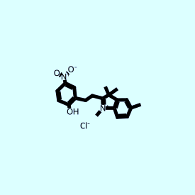 Cc1ccc2c(c1)C(C)(C)C(CCc1cc([N+](=O)[O-])ccc1O)=[N+]2C.[Cl-]